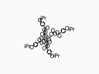 CC(C)Oc1ccc(C(=O)OOC(=O)OCC(COC(=O)OOC(=O)c2ccc(OC(C)C)cc2)(COC(=O)OOC(=O)c2ccc(OC(C)C)cc2)COC(=O)OOC(=O)c2ccc(OC(C)C)cc2)cc1